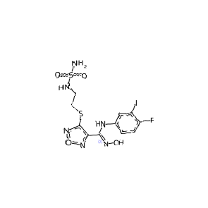 NS(=O)(=O)NCCSc1nonc1/C(=N/O)Nc1ccc(F)c(I)c1